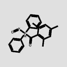 Cc1cc(C)c(C(=O)[PH](P=O)(c2ccccc2)c2ccccc2)c(C)c1